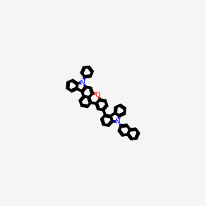 c1ccc(-n2c3ccccc3c3c4cccc5c4c(cc32)Oc2ccc(-c3cccc4c3c3ccccc3n4-c3ccc4ccccc4c3)cc2-5)cc1